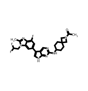 CC(=O)N1CC2(CCC(Nc3ncc4c(-c5cc(F)c6nc(C)n(CC(F)F)c6c5)c[nH]c4n3)CC2)C1